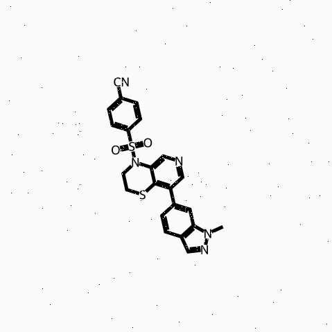 Cn1ncc2ccc(-c3cncc4c3SCCN4S(=O)(=O)c3ccc(C#N)cc3)cc21